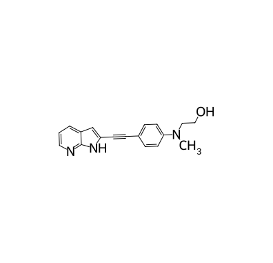 CN(CCO)c1ccc(C#Cc2cc3cccnc3[nH]2)cc1